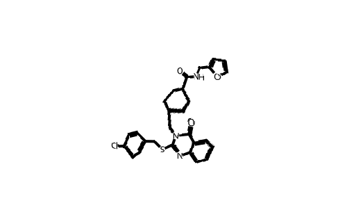 O=C(NCc1ccco1)C1CCC(Cn2c(SCc3ccc(Cl)cc3)nc3ccccc3c2=O)CC1